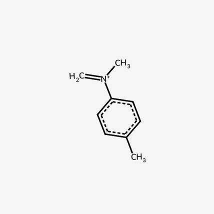 C=[N+](C)c1ccc(C)cc1